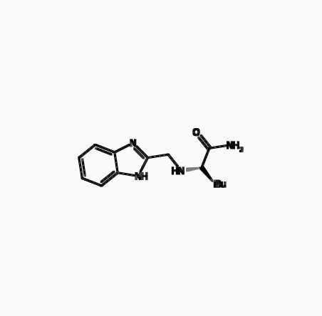 CC[C@H](C)[C@H](NCc1nc2ccccc2[nH]1)C(N)=O